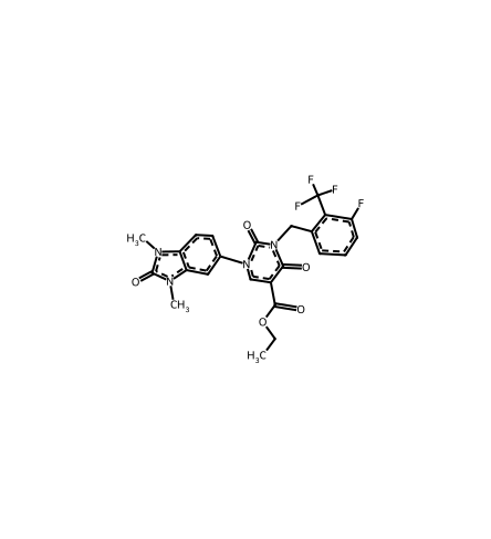 CCOC(=O)c1cn(-c2ccc3c(c2)n(C)c(=O)n3C)c(=O)n(Cc2cccc(F)c2C(F)(F)F)c1=O